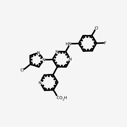 O=C(O)c1cncc(-c2cnc(Nc3ccc(F)c(Cl)c3)nc2-n2cc(Cl)cn2)c1